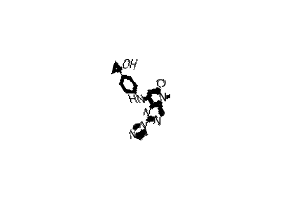 Cn1c(=O)cc(N[C@H]2CC[C@H](C3(O)CC3)CC2)c2nc(-n3ccnc3)ncc21